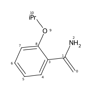 C=C(N)c1ccccc1OC(C)C